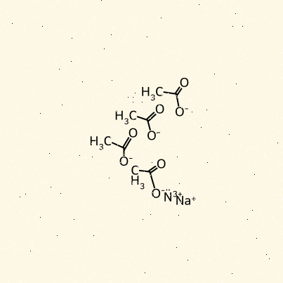 CC(=O)[O-].CC(=O)[O-].CC(=O)[O-].CC(=O)[O-].[N+3].[Na+]